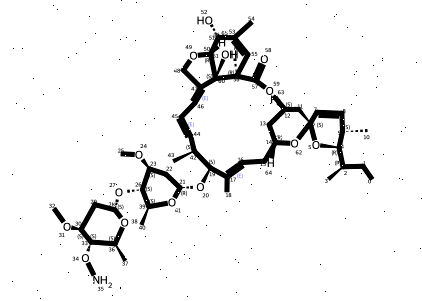 CC[C@@H](C)[C@H]1O[C@]2(C=C[C@@H]1C)C[C@@H]1C[C@@H](C/C=C(\C)[C@@H](O[C@H]3C[C@H](OC)[C@@H](O[C@H]4C[C@H](OC)[C@@H](ON)[C@H](C)O4)[C@H](C)O3)[C@@H](C)/C=C/C=C3\CO[C@@H]4[C@H](O)C(C)=C[C@@H](C(=O)O1)[C@]34O)O2